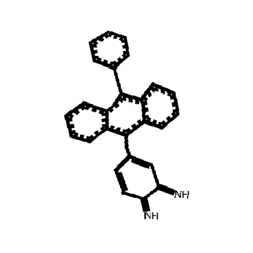 N=C1C=CC(c2c3ccccc3c(-c3ccccc3)c3ccccc23)=CC1=N